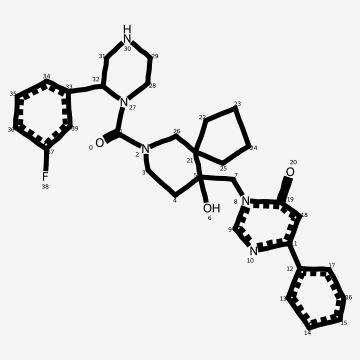 O=C(N1CCC(O)(Cn2cnc(-c3ccccc3)cc2=O)C2(CCCC2)C1)N1CCNCC1c1cccc(F)c1